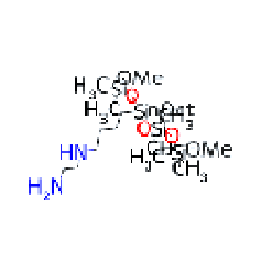 CCCCCCCC[Si](CCCCNCCN)(O[Si](C)(C)OC)O[Si](C)(C)O[Si](C)(C)OC